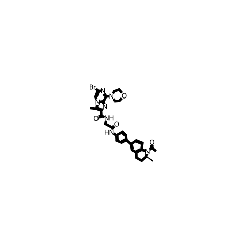 CC(=O)N1c2ccc(-c3ccc(NC(=O)CNC(=O)c4nc5c(N6CCOCC6)nc(Br)cn5c4C)cc3)cc2CC[C@@H]1C